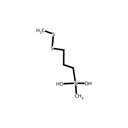 CSSCCC[Si](C)(O)O